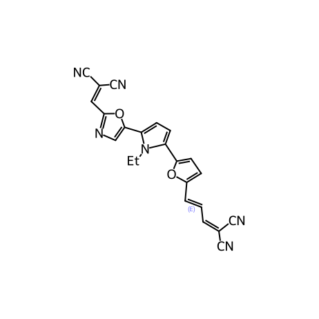 CCn1c(-c2ccc(/C=C/C=C(C#N)C#N)o2)ccc1-c1cnc(C=C(C#N)C#N)o1